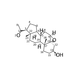 CC(=O)[C@H]1CC[C@H]2[C@@H]3C[C@H]4O[C@]45C[C@@H](O)CC[C@]5(C)[C@H]3CC[C@]12C